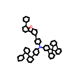 c1ccc(-c2ccccc2-c2ccccc2-c2ccc(N(c3ccc(-c4ccc5oc6c(-c7ccccc7)cccc6c5c4)cc3)c3ccc4c(c3)-c3ccccc3C43c4ccccc4-c4ccccc43)cc2)cc1